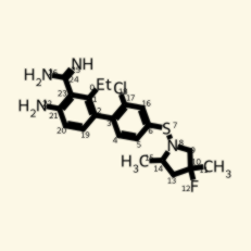 CCc1c(-c2ccc(SN3CC(C)(F)CC3C)cc2Cl)ccc(N)c1C(=N)N